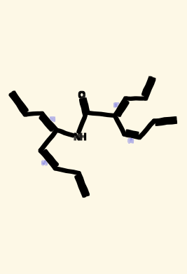 C=C/C=C\C(=C/C=C)NC(=O)C(/C=C\C=C)=C/C=C